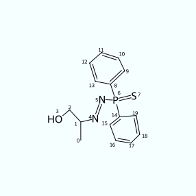 CC(CO)/N=N/P(=S)(c1ccccc1)c1ccccc1